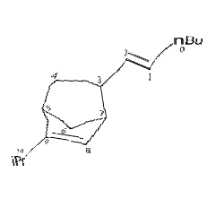 CCCCC=CC1CC2CC1C=C2C(C)C